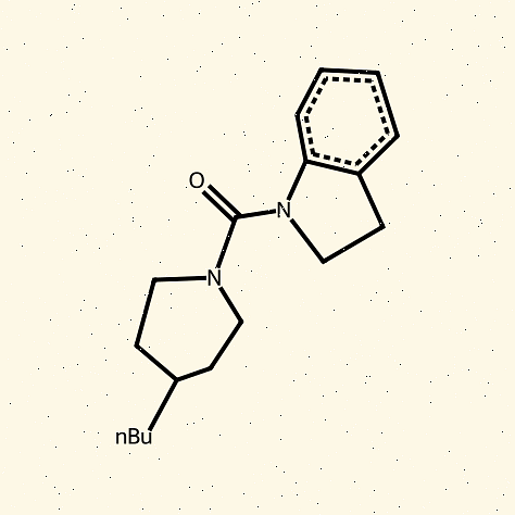 CCCCC1CCN(C(=O)N2CCc3ccccc32)CC1